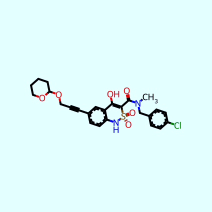 CN(Cc1ccc(Cl)cc1)C(=O)C1=C(O)c2cc(C#CCOC3CCCCO3)ccc2NS1(=O)=O